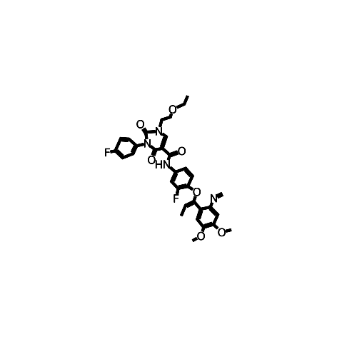 C=Nc1cc(OC)c(OC)cc1/C(=C\C)Oc1ccc(NC(=O)c2cn(CCOCC)c(=O)n(-c3ccc(F)cc3)c2=O)cc1F